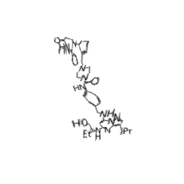 CC[C@@H](CO)Nc1cc(NCc2ccc(NC(=O)N3CCN(Cc4ccccc4N4CCC(=O)NC4=O)CC3)cc2)n2ncc(C(C)C)c2n1